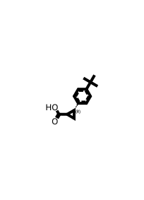 CC(C)(C)c1ccc([C@@H]2CC2C(=O)O)cc1